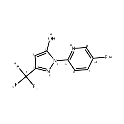 Oc1cc(C(F)(F)F)nn1-c1ccc(F)cn1